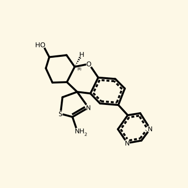 NC1=NC2(CS1)c1cc(-c3cncnc3)ccc1O[C@@H]1CC(O)CCC12